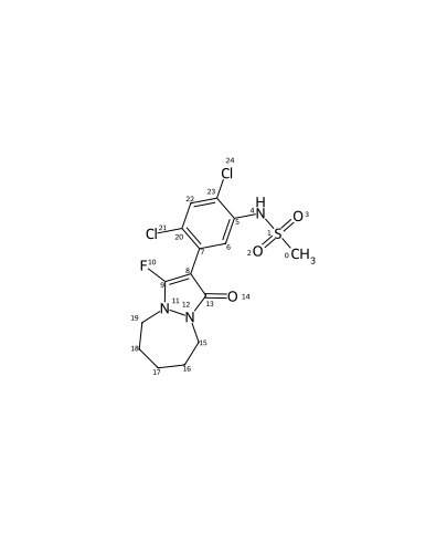 CS(=O)(=O)Nc1cc(-c2c(F)n3n(c2=O)CCCCC3)c(Cl)cc1Cl